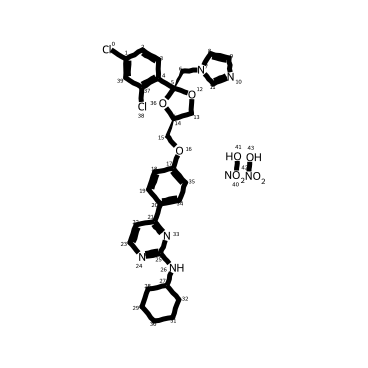 Clc1ccc([C@]2(Cn3ccnc3)OC[C@@H](COc3ccc(-c4ccnc(NC5CCCCC5)n4)cc3)O2)c(Cl)c1.O=[N+]([O-])O.O=[N+]([O-])O